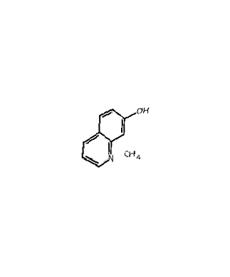 C.Oc1ccc2cccnc2c1